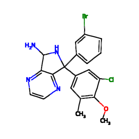 COc1c(C)cc(C2(c3cccc(Br)c3)NC(N)c3nccnc32)cc1Cl